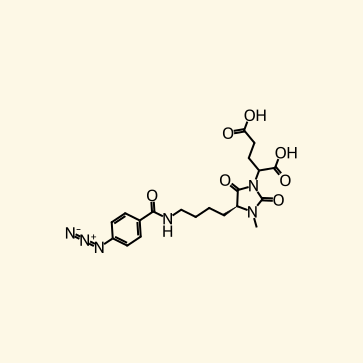 CN1C(=O)N(C(CCC(=O)O)C(=O)O)C(=O)[C@@H]1CCCCNC(=O)c1ccc(N=[N+]=[N-])cc1